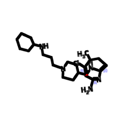 CC1C/C=C(NCC2CCN(CCCNC3CCCCC3)CC2)/N=C(N)\C=C/1Cl